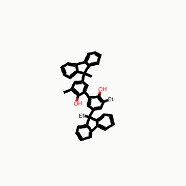 CCc1cc(C2(CC)c3ccccc3-c3ccccc32)cc(-c2cc(C3(C)c4ccccc4-c4ccccc43)cc(C)c2O)c1O